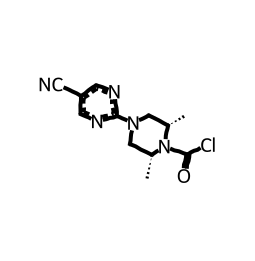 C[C@@H]1CN(c2ncc(C#N)cn2)C[C@H](C)N1C(=O)Cl